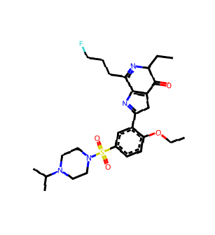 CCOc1ccc(S(=O)(=O)N2CCN(C(C)C)CC2)cc1C1=NC2=C(C1)C(=O)C(CC)N=C2CCCF